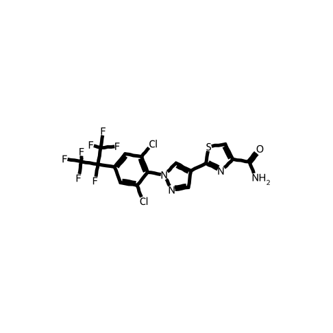 NC(=O)c1csc(-c2cnn(-c3c(Cl)cc(C(F)(C(F)(F)F)C(F)(F)F)cc3Cl)c2)n1